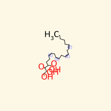 CCCCC/C=C\C/C=C\C/C=C\C/C=C\CCC(C(=O)O)C(=O)C(O)CO